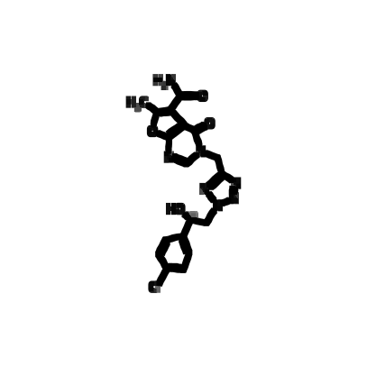 Cc1oc2ncn(Cc3nnn(C[C@H](O)c4ccc(Cl)cc4)n3)c(=O)c2c1C(N)=O